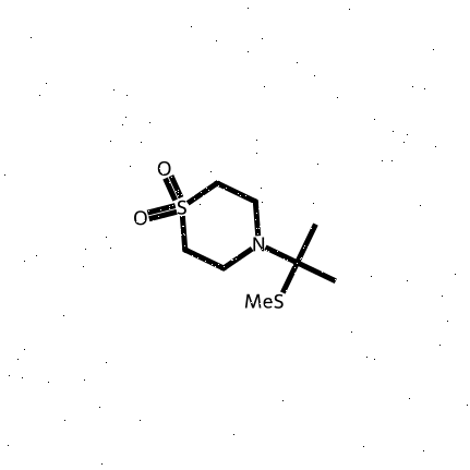 CSC(C)(C)N1CCS(=O)(=O)CC1